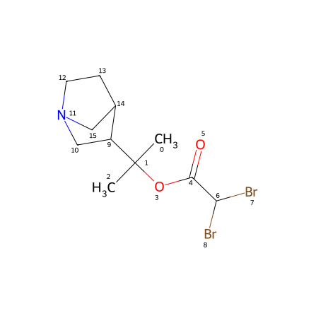 CC(C)(OC(=O)C(Br)Br)C1CN2CCC1C2